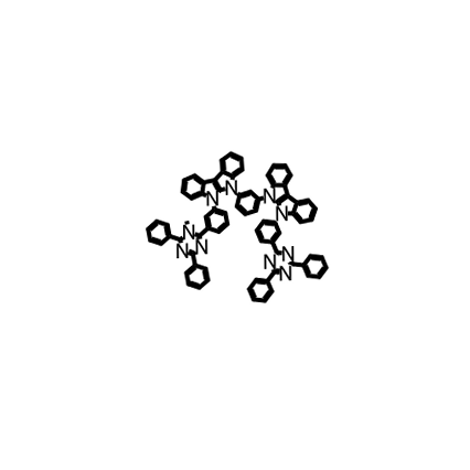 CN1C(c2cccc(-n3c4ccccc4c4c5ccccc5n(-c5cccc(-n6c7ccccc7c7c8ccccc8n(-c8cccc(-c9nc(-c%10ccccc%10)nc(-c%10ccccc%10)n9)c8)c76)c5)c43)c2)=NC(c2ccccc2)=NC1c1ccccc1